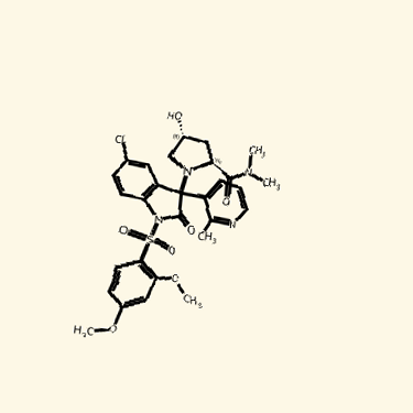 COc1ccc(S(=O)(=O)N2C(=O)C(c3cccnc3C)(N3C[C@H](O)C[C@H]3C(=O)N(C)C)c3cc(Cl)ccc32)c(OC)c1